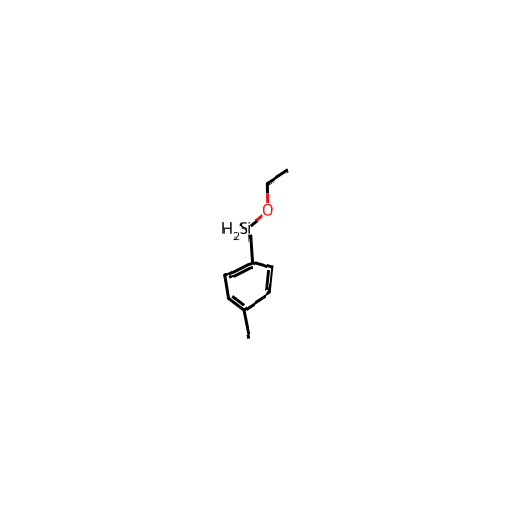 CCO[SiH2]c1ccc(C)cc1